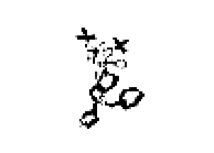 CC(C)(C)OC(=O)NN(C(=O)OC(C)(C)C)c1ccc2c(cc(-c3ccsc3)n2Cc2ccccc2)n1